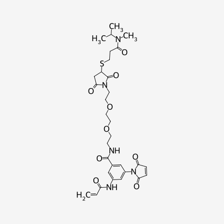 C=CC(=O)Nc1cc(C(=O)NCCOCCOCCN2C(=O)CC(SCCC(=O)N(C)C(C)C)C2=O)cc(N2C(=O)C=CC2=O)c1